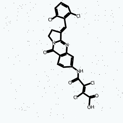 O=C(O)C(Cl)=C(Cl)C(=O)Nc1ccc2c(=O)n3c(nc2c1)C(=Cc1c(Cl)cccc1Cl)CC3